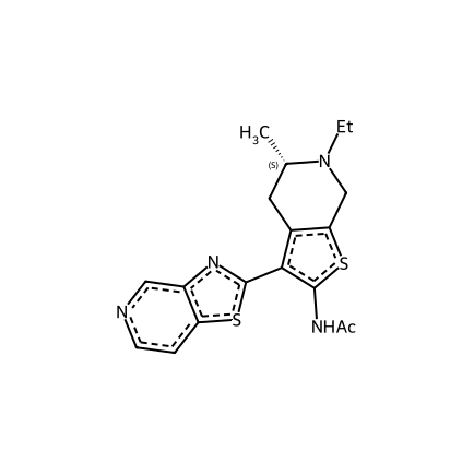 CCN1Cc2sc(NC(C)=O)c(-c3nc4cnccc4s3)c2C[C@@H]1C